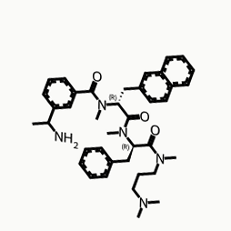 CC(N)c1cccc(C(=O)N(C)[C@H](Cc2ccc3ccccc3c2)C(=O)N(C)[C@H](Cc2ccccc2)C(=O)N(C)CCCN(C)C)c1